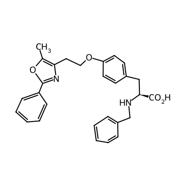 Cc1oc(-c2ccccc2)nc1CCOc1ccc(C[C@H](NCc2ccccc2)C(=O)O)cc1